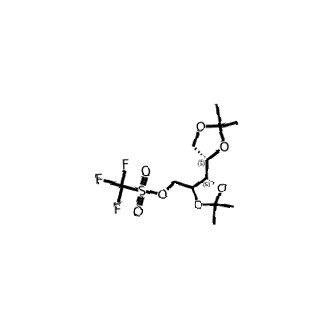 CC1(C)OC[C@@H]([C@@H]2OC(C)(C)OC2COS(=O)(=O)C(F)(F)F)O1